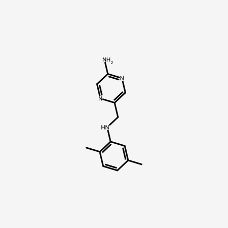 Cc1ccc(C)c(NCc2cnc(N)cn2)c1